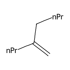 C=C(CCC)CCCC